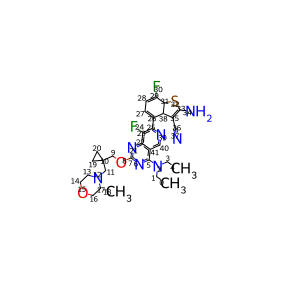 CCN(CC)c1nc(OCC2(CN3CCOC[C@H]3C)CC2)nc2c(F)c(C3=CC=C(F)C4SC(N)=C(C#N)C34)ncc12